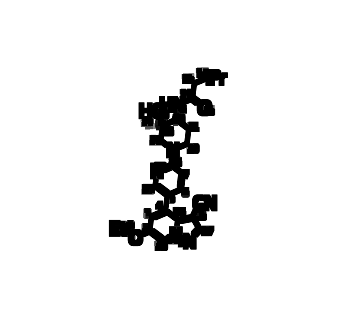 CCOc1cc(-c2ccc(N3CC[C@@H](NC(=O)CC(C)C)[C@](C)(O)C3)nc2)c2c(C#N)cnn2c1